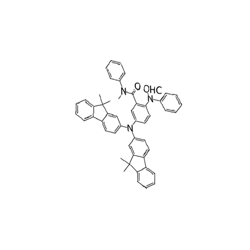 CN(C(=O)c1cc(N(c2ccc3c(c2)C(C)(C)c2ccccc2-3)c2ccc3c(c2)C(C)(C)c2ccccc2-3)ccc1N(C=O)c1ccccc1)c1ccccc1